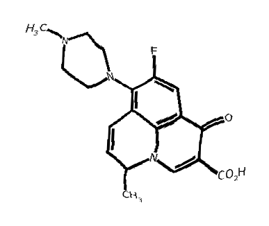 CC1C=Cc2c(N3CCN(C)CC3)c(F)cc3c(=O)c(C(=O)O)cn1c23